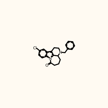 O=C1CCCC2c3c(c4cc(Cl)ccc4n31)CCN2Cc1ccccc1